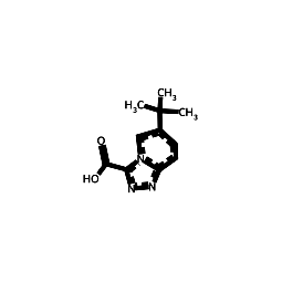 CC(C)(C)c1ccc2nnc(C(=O)O)n2c1